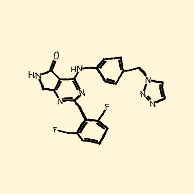 O=C1NCc2nc(-c3c(F)cccc3F)nc(Nc3ccc(Cn4ccnn4)cc3)c21